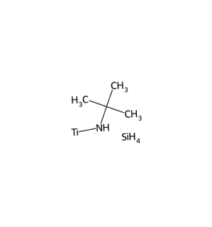 CC(C)(C)[NH][Ti].[SiH4]